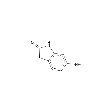 [NH]c1ccc2c(c1)NC(=O)C2